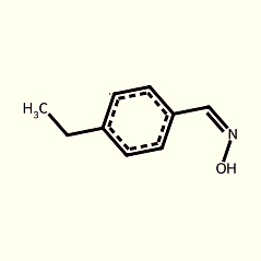 CCc1[c]cc(/C=N\O)cc1